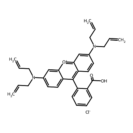 C=CCN(CC=C)c1ccc2c(-c3ccccc3C(=O)O)c3ccc(N(CC=C)CC=C)cc3[o+]c2c1.[Cl-]